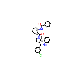 O=C(N[C@@H]1CCCC[C@@H]1C(=O)N1CCC2C(c3cccc(Cl)c3)Nc3ccccc3[C@@H]21)c1ccccc1